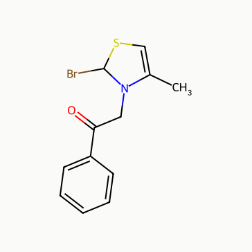 CC1=CSC(Br)N1CC(=O)c1ccccc1